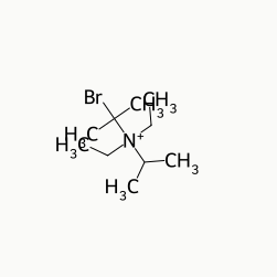 CC[N+](CC)(C(C)C)C(C)(C)Br